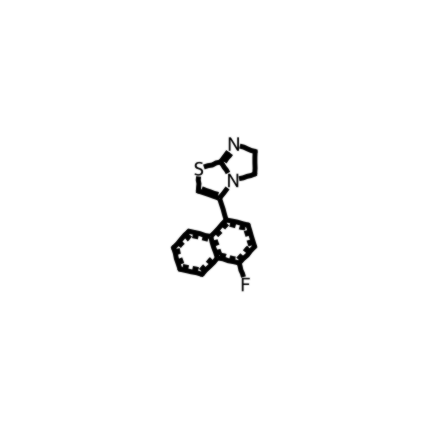 Fc1ccc(C2=CSC3=NCCN23)c2ccccc12